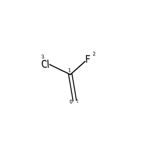 [C]=C(F)Cl